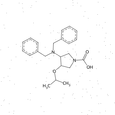 CC(C)OC1CN(C(=O)O)CC1N(Cc1ccccc1)Cc1ccccc1